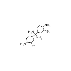 CCC1CC(C(N)(N)C2CCC(N)C(CC)C2)CCC1N